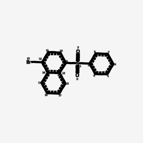 O=S(=O)(c1ccccc1)c1ccc(Br)c2ccccc12